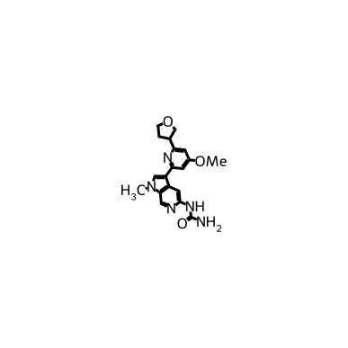 COc1cc(-c2cn(C)c3cnc(NC(N)=O)cc23)nc(C2CCOC2)c1